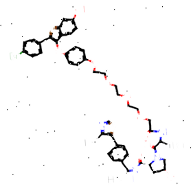 Cc1ncsc1-c1ccc([C@H](C)NC(=O)[C@@H]2C[C@@H](O)CN2C(=O)C(NC(=O)COCCOCCOCCOc2ccc(Oc3c(-c4ccc(Br)cc4)sc4cc(O)ccc34)cc2)C(C)(C)C)cc1